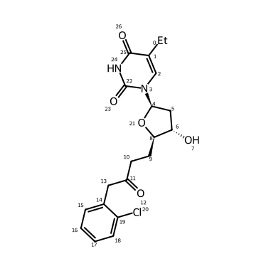 CCc1cn([C@H]2C[C@H](O)[C@@H](CCC(=O)Cc3ccccc3Cl)O2)c(=O)[nH]c1=O